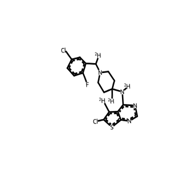 [2H]c1c(Cl)sc2ncnc(N([2H])C3([2H])CCN(C([2H])c4cc(Cl)ccc4F)CC3)c12